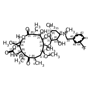 CO[C@@]1(C)C[C@@H](C)C(=O)[C@H](C)[C@H]2NC(=O)O[C@@]23C(C)[C@H]3OC(=O)[C@H](C)[C@@H](O)[C@H](C)[C@H]1OC1O[C@H](C)C[C@H](N(C)Cc2cccc(F)c2)[C@H]1O